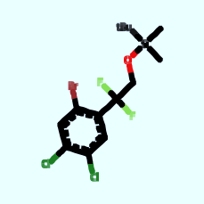 CC(C)(C)[Si](C)(C)OCC(F)(F)c1cc(Cl)c(Cl)cc1Br